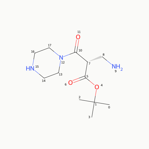 CC(C)(C)OC(=O)[C@@H](CN)C(=O)N1CCNCC1